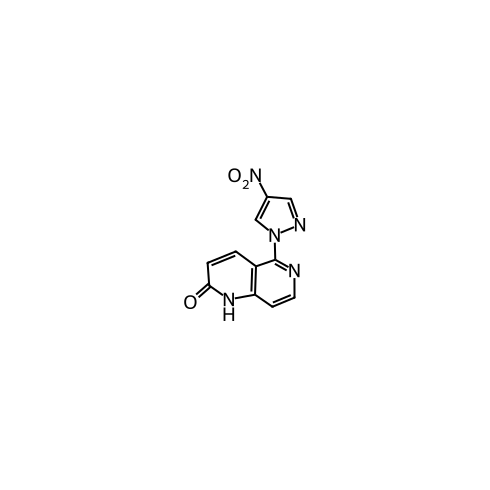 O=c1ccc2c(-n3cc([N+](=O)[O-])cn3)nccc2[nH]1